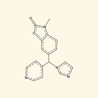 Cn1c(=O)oc2cc(C(c3ccncc3)n3ccnc3)ccc21